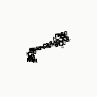 CCNS(=O)(=O)c1cccc(S(=O)(=O)NCCOCCOCCOCCNS(=O)(=O)c2cccc(C3CN(C)Cc4c(Cl)cc(Cl)cc43)c2)c1